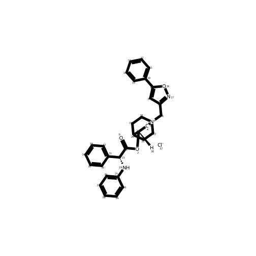 O=C(O[C@H]1C[N+]2(Cc3cc(-c4ccccc4)on3)CCC1CC2)[C@H](Nc1ccccc1)c1ccccc1.[Cl-]